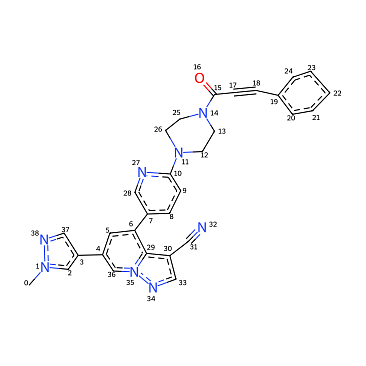 Cn1cc(-c2cc(-c3ccc(N4CCN(C(=O)C#Cc5ccccc5)CC4)nc3)c3c(C#N)cnn3c2)cn1